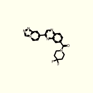 O=C(c1ccc2ncc(-c3ccn4cnnc4c3)nc2c1)N1CCC(F)(F)CC1